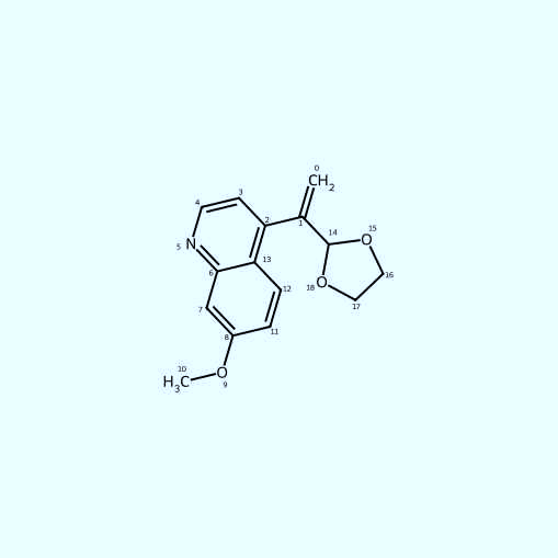 C=C(c1ccnc2cc(OC)ccc12)C1OCCO1